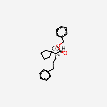 O=C(OCc1ccccc1)[C@@H](CCCc1ccccc1)C1(C(=O)O)CCCC1